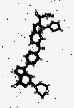 COC(=O)c1cc2cnc(Nc3ccc(-c4csc5c(=O)cc(N6CCOCC6)oc45)cc3)nc2n1C1CCCC1